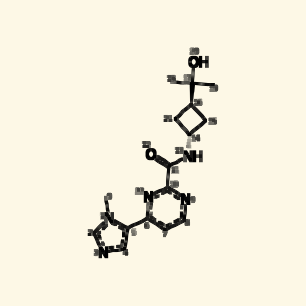 Cn1cncc1-c1ccnc(C(=O)N[C@H]2C[C@H](C(C)(C)O)C2)n1